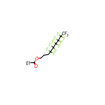 CCC(=O)OCCCC(F)(F)C(F)(F)C(F)(F)C(F)(F)C(F)(F)C(F)(F)F